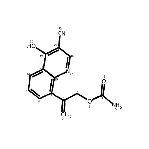 C=C(COC(N)=O)c1cccc2c(O)c(C#N)cnc12